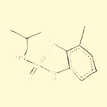 Cc1cccc(NS(=O)(=O)NC(C)C)c1Cl